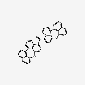 O=C(c1ccc2oc3cccc4cccc(c5cccc1c25)c43)c1ccc2oc3cccc4cccc(c5cccc1c25)c43